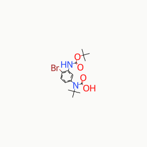 CC(C)(C)OC(=O)Nc1cc(N(C(=O)O)C(C)(C)C)ccc1Br